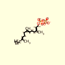 CC(C)=CCCC(C)=CCCC(C)=CCOP(=O)([O-])OP(=O)([O-])[O-].[Li+].[Li+].[Li+]